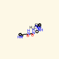 CN(C)c1nc(N[C@H]2CC[C@@H](CNC(=O)CCNC(=O)CCCc3c[nH]c4ccccc34)CC2)nc2ccccc12